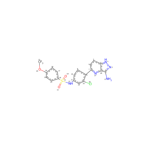 Nc1n[nH]c2ccc(-c3ccc(NS(=O)(=O)c4ccc(OC(F)(F)F)cc4)cc3Cl)nc12